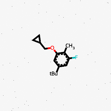 Cc1c(F)cc(C(C)(C)C)cc1OCC1CC1